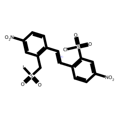 O=[N+]([O-])c1ccc(/C=C/c2ccc([N+](=O)[O-])cc2S(=O)(=O)Cl)c(CS(=O)(=O)I)c1